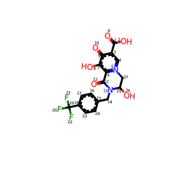 O=C(O)c1cn2c(c(O)c1=O)C(=O)N(Cc1ccc(C(F)(F)F)cc1)C(O)C2